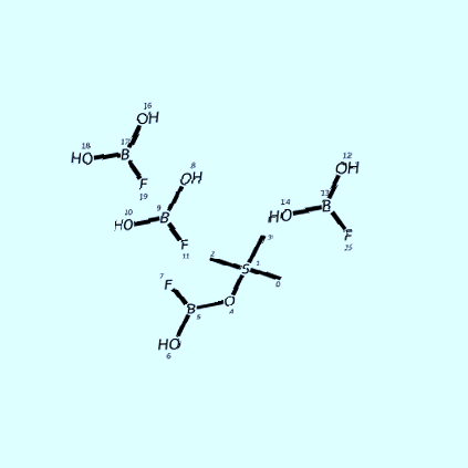 CS(C)(C)OB(O)F.OB(O)F.OB(O)F.OB(O)F